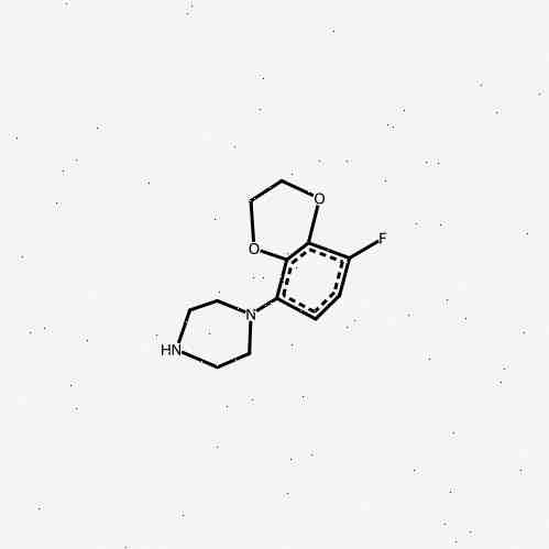 Fc1ccc(N2CCNCC2)c2c1OCCO2